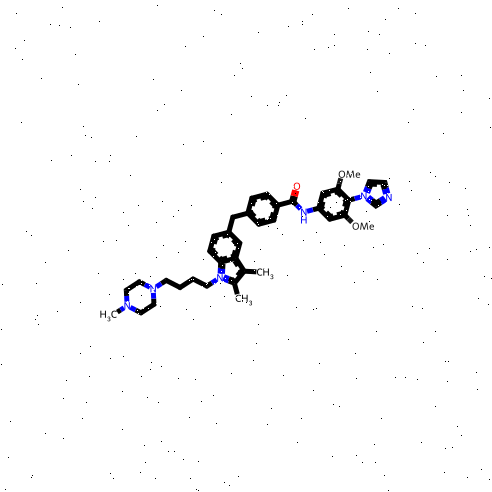 COc1cc(NC(=O)c2ccc(Cc3ccc4c(c3)c(C)c(C)n4CCCCN3CCN(C)CC3)cc2)cc(OC)c1-n1ccnc1